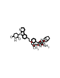 CN(CCCCc1ccc2c(c1)c1cccnc1n2C1CCC(=O)NC1=O)CCc1cnc(N2C3CCC2CN(c2cc(-c4ccccc4O)nnc2N)C3)nc1